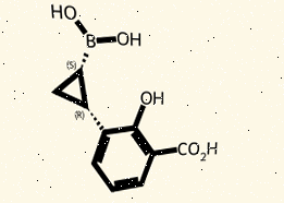 O=C(O)c1cccc([C@@H]2C[C@@H]2B(O)O)c1O